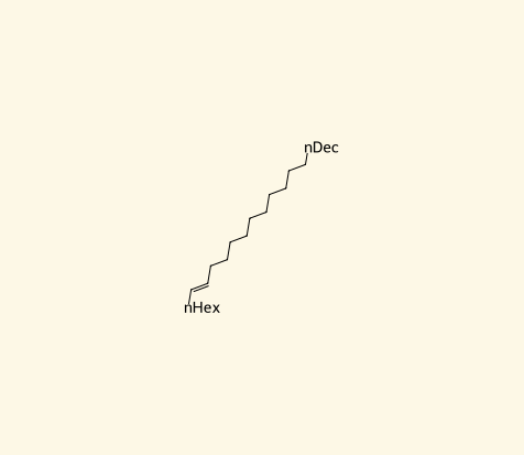 CCCCCCC=CCCCCCCCCCCCCCCCCCCCC